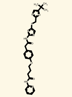 CC(C)(C)c1cnc(CSc2cnc(NC(=O)Cc3ccc(OCCCC(=O)Nc4ccccn4)cc3)s2)o1